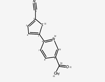 N#Cc1ccc(-c2ccc(C(=O)O)cn2)s1